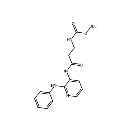 CC(C)(C)OC(=O)NCCC(=O)Nc1cccnc1Nc1ccccc1